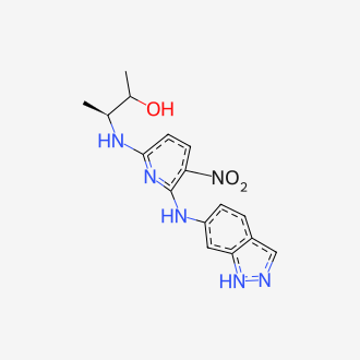 CC(O)[C@H](C)Nc1ccc([N+](=O)[O-])c(Nc2ccc3cn[nH]c3c2)n1